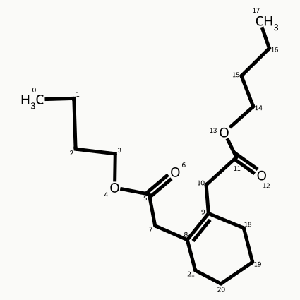 CCCCOC(=O)CC1=C(CC(=O)OCCCC)CCCC1